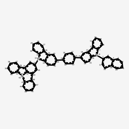 c1ccc2cc(-n3c4ccccc4c4cc(-c5ccc(-c6ccc7c(c6)c6ccccc6n7-c6cc7c8ccccc8n8c9ccccc9c(c6)c78)cc5)ccc43)ccc2c1